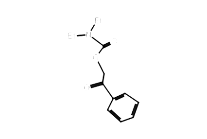 CCN(CC)C(=O)OCC(=O)c1ccccc1